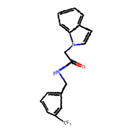 O=C(Cn1ccc2ccccc21)NCc1cccc(C(F)(F)F)c1